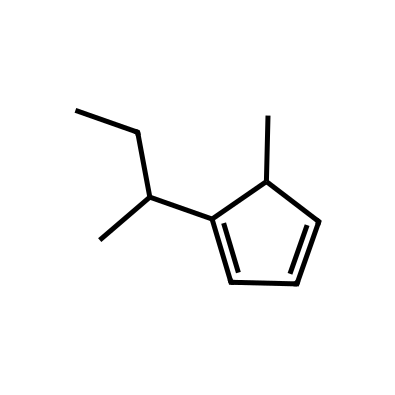 CCC(C)C1=CC=CC1C